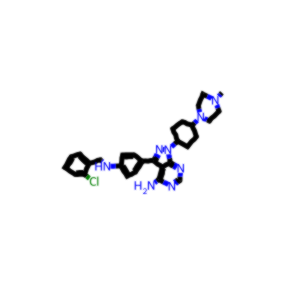 CN1CCN(C2CCC(n3nc(-c4ccc(NCc5ccccc5Cl)cc4)c4c(N)ncnc43)CC2)CC1